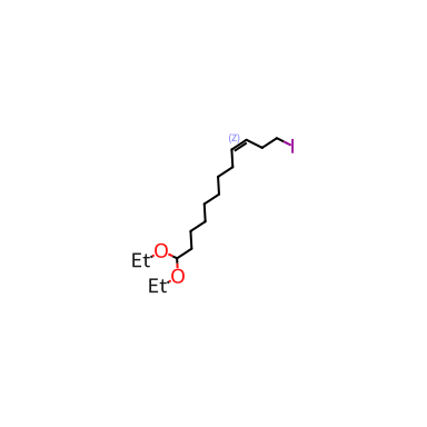 CCOC(CCCCCCC/C=C\CCI)OCC